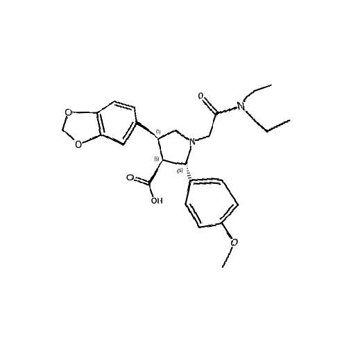 CCN(CC)C(=O)CN1C[C@H](c2ccc3c(c2)OCO3)[C@H](C(=O)O)[C@H]1c1ccc(OC)cc1